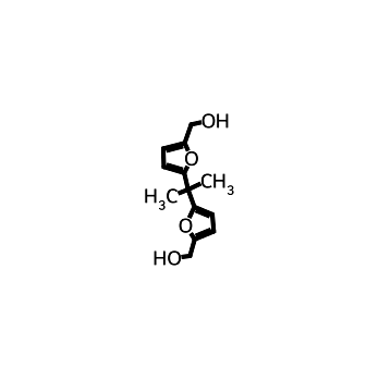 CC(C)(c1ccc(CO)o1)c1ccc(CO)o1